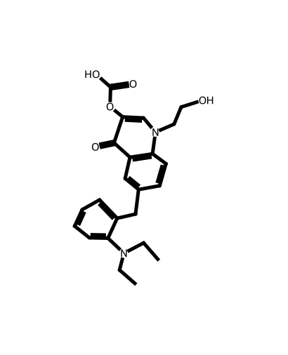 CCN(CC)c1ccccc1Cc1ccc2c(c1)c(=O)c(OC(=O)O)cn2CCO